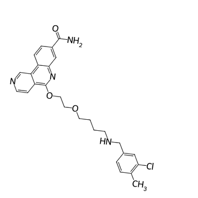 Cc1ccc(CNCCCCOCCOc2nc3cc(C(N)=O)ccc3c3cnccc23)cc1Cl